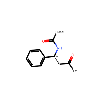 CCC(=O)C[C@@H](NC(=O)OC)c1ccccc1